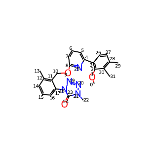 COc1c(-c2cccc(OCc3c(C)cccc3-n3nnn(C)c3=O)n2)ccc(C)c1C